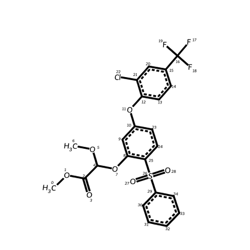 COC(=O)C(OC)Oc1cc(Oc2ccc(C(F)(F)F)cc2Cl)ccc1S(=O)(=O)c1ccccc1